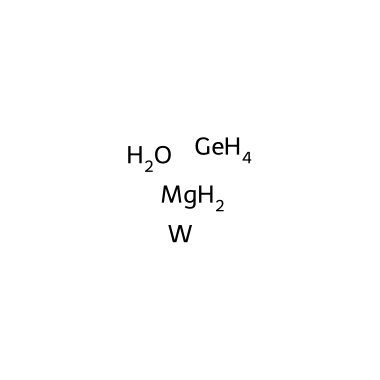 O.[GeH4].[MgH2].[W]